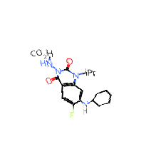 CC(C)n1c(=O)n(NC(=O)O)c(=O)c2cc(F)c(NC3CCCCC3)cc21